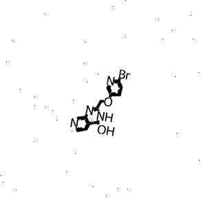 OC1NC(COc2ccc(Br)nc2)=Nc2cnccc21